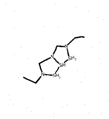 CCN1CN2CN(CC)[SiH2][SiH]2[SiH2]1